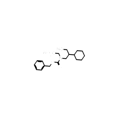 O=C(O)CN(CC(CO)C1CCCCC1)C(=O)OCc1ccccc1